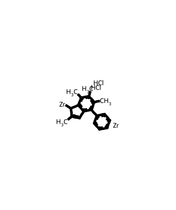 CC1=Cc2c(-c3ccccc3)c(C)c(C)c(C)c2[CH]1[Zr].Cl.Cl.[Zr]